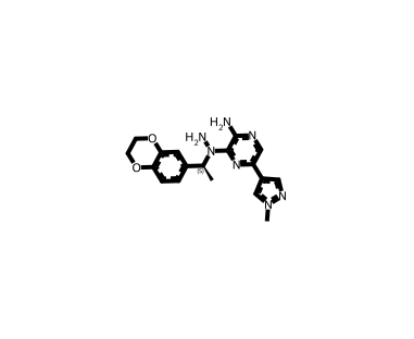 C[C@@H](c1ccc2c(c1)OCCO2)N(N)c1nc(-c2cnn(C)c2)cnc1N